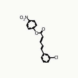 O=C(C=CC=Cc1cccc(Cl)c1)Oc1ccc([N+](=O)[O-])cc1